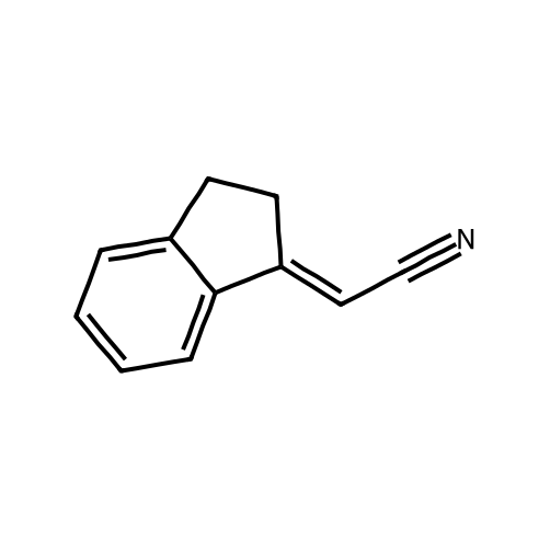 N#CC=C1CCc2ccccc21